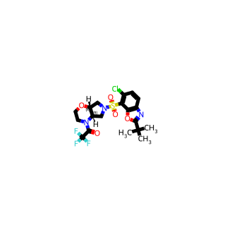 CC(C)(C)c1nc2ccc(Cl)c(S(=O)(=O)N3C[C@@H]4[C@@H](C3)OCCN4C(=O)C(F)(F)F)c2o1